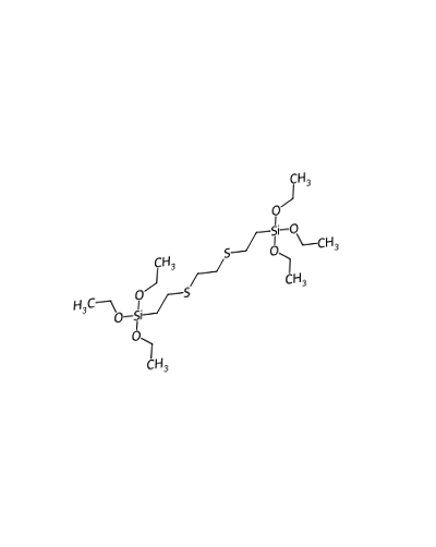 CCO[Si](CCSCCSCC[Si](OCC)(OCC)OCC)(OCC)OCC